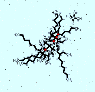 CCCCCCCC(CC)S(=O)(=O)C(O)(C(C(S(=O)(=O)C(CC)CCCCCCC)(S(=O)(=O)C(CC)CCCCCCC)S(=O)(=O)C(CC)CCCCCCC)(S(=O)(=O)C(CC)CCCCCCC)S(=O)(=O)C(CC)CCCCCCC)S(=O)(=O)C(CC)CCCCCCC.O=P(O)(O)O